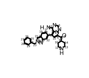 Nc1ncnn2c(C(=O)C3CCNCC3)cc(-c3ccc4cn(Cc5ccccc5)nc4c3)c12